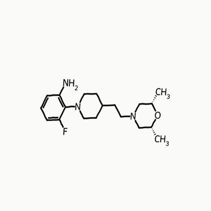 C[C@@H]1CN(CCC2CCN(c3c(N)cccc3F)CC2)C[C@H](C)O1